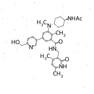 CC(=O)N[C@H]1CC[C@H](N(C)c2cc(-c3ccc(CO)nc3)cc(C(=O)NCc3c(C)cc(C)[nH]c3=O)c2C)CC1